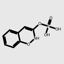 O=P(O)(O)OC1=Cc2ccccc2ON1